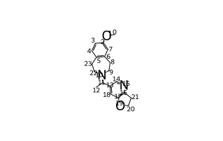 COc1ccc2c(c1)CCN(C(C)c1cnc3c(c1)OCC3)CC2